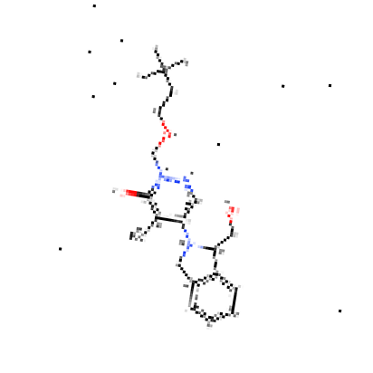 C[Si](C)(C)CCOCn1ncc(N2Cc3ccccc3C2CO)c(C(F)(F)F)c1=O